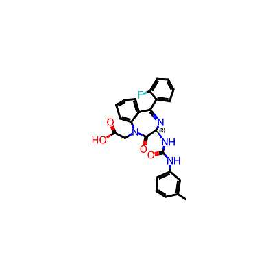 Cc1cccc(NC(=O)N[C@@H]2N=C(c3ccccc3F)c3ccccc3N(CC(=O)O)C2=O)c1